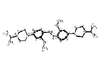 COc1cc(N2CCN(C(C)C)CC2)ccc1NNc1ccc(N2CCN(C(C)C)CC2)cc1OC